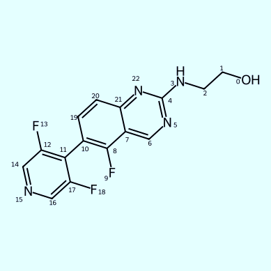 OCCNc1ncc2c(F)c(-c3c(F)cncc3F)ccc2n1